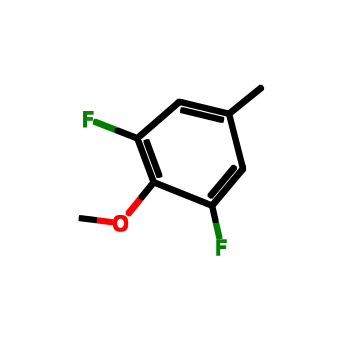 COc1c(F)cc(C)cc1F